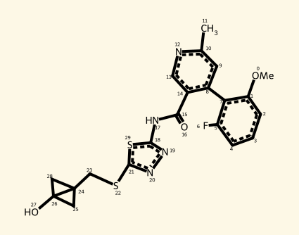 COc1cccc(F)c1-c1cc(C)ncc1C(=O)Nc1nnc(SCC23CC2(O)C3)s1